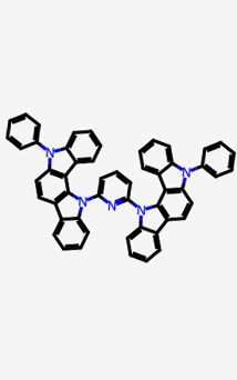 c1ccc(-n2c3ccccc3c3c2ccc2c4ccccc4n(-c4cccc(-n5c6ccccc6c6ccc7c(c8ccccc8n7-c7ccccc7)c65)n4)c23)cc1